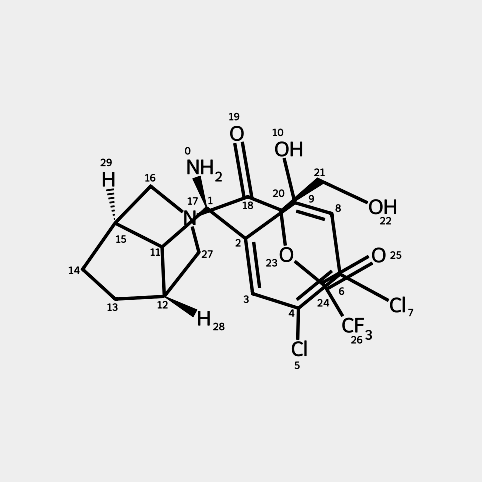 N[C@@H](c1cc(Cl)c(Cl)cc1O)C1[C@H]2CC[C@H]1CN(C(=O)[C@@H](CO)OC(=O)C(F)(F)F)C2